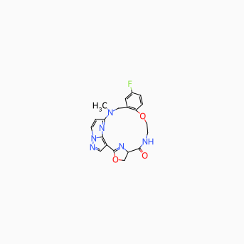 CN1Cc2cc(F)ccc2OCCNC(=O)C2COC(=N2)c2cnn3ccc1nc23